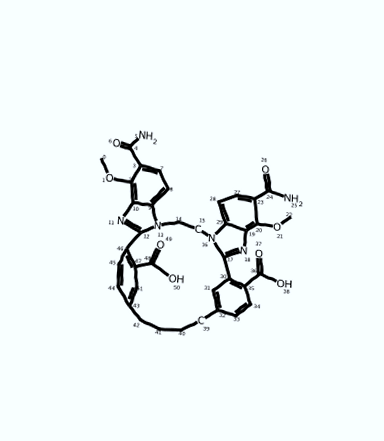 COc1c(C(N)=O)ccc2c1nc1n2CCn2c(nc3c(OC)c(C(N)=O)ccc32)-c2cc(ccc2C(=O)O)CCCCc2ccc-1c(C(=O)O)c2